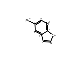 CC(C)c1cnc2occc2c1